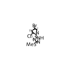 CSc1n[nH]c(-c2ncc(Br)cc2Cl)n1